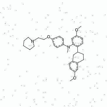 COc1ccc2c(c1)CCC(c1ccc(OC)cc1N(C)c1ccc(OCCN3CCCCC3)cc1)C2